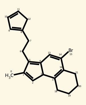 CC1=CC2C(=C1CCC1=CC=CC1)C=C(Br)C1=C2CCCC1